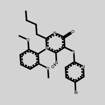 CCCCc1nc(=O)c(Sc2ccc(Br)cn2)c(N=O)n1-c1c(OC)cccc1OC